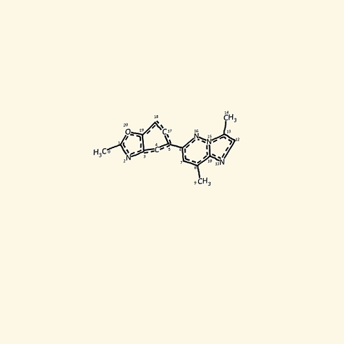 Cc1nc2cc(-c3cc(C)c4ncc(C)n4n3)ccc2o1